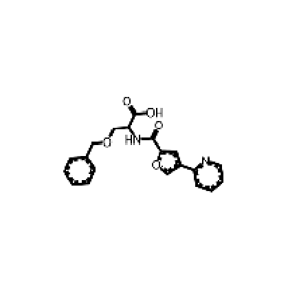 O=C(NC(COCc1ccccc1)C(=O)O)c1cc(-c2ccccn2)co1